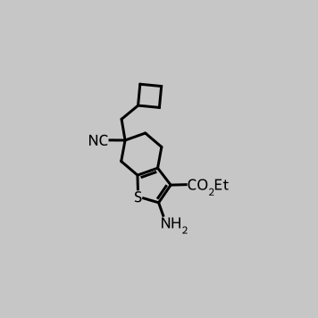 CCOC(=O)c1c(N)sc2c1CCC(C#N)(CC1CCC1)C2